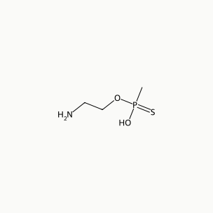 CP(O)(=S)OCCN